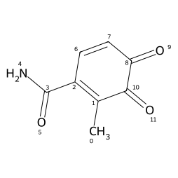 CC1=C(C(N)=O)C=CC(=O)C1=O